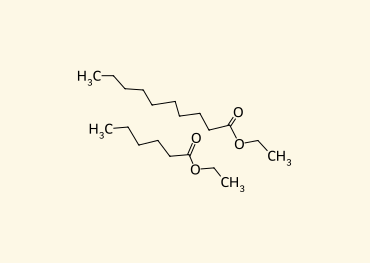 CCCCCC(=O)OCC.CCCCCCCCCC(=O)OCC